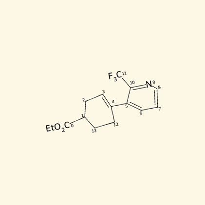 CCOC(=O)C1CC=C(c2cccnc2C(F)(F)F)CC1